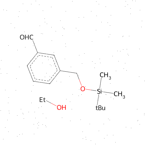 CC(C)(C)[Si](C)(C)OCc1cccc(C=O)c1.CCO